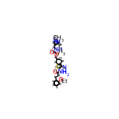 CCOc1ccccc1CCC(=O)Nc1sc2c(c1N)CCC(COC(=O)NCc1cn(C)nc1C)C2